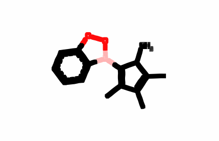 CC1=C(C)C([SiH3])C(B2OOc3ccccc32)=C1C